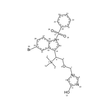 C[Si](C)(C)C(COCn1cnc(O)c1)c1cn(S(=O)(=O)c2ccccc2)c2ccc(Br)cc12